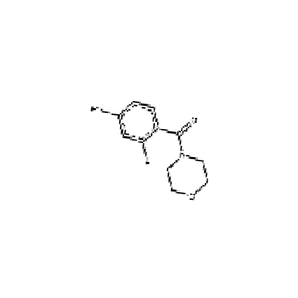 CC(C)c1ccc(C(=O)N2CCOCC2)c(F)c1